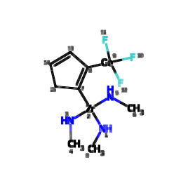 C[NH][Zr]([NH]C)([NH]C)[C]1=[C]([Ge]([F])([F])[F])C=CC1